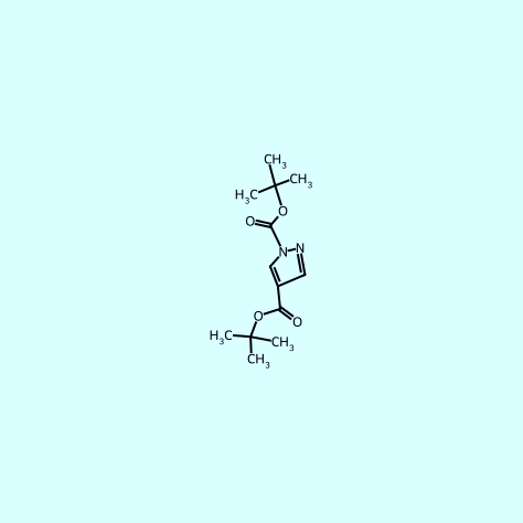 CC(C)(C)OC(=O)c1cnn(C(=O)OC(C)(C)C)c1